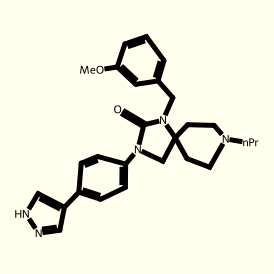 CCCN1CCC2(CC1)CN(c1ccc(-c3cn[nH]c3)cc1)C(=O)N2Cc1cccc(OC)c1